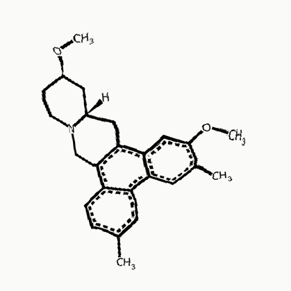 COc1cc2c3c(c4ccc(C)cc4c2cc1C)CN1CC[C@@H](OC)C[C@@H]1C3